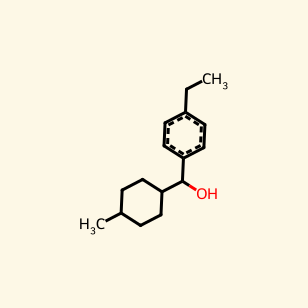 CCc1ccc(C(O)C2CCC(C)CC2)cc1